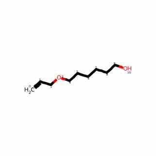 C=C[CH]OCCCCCCO